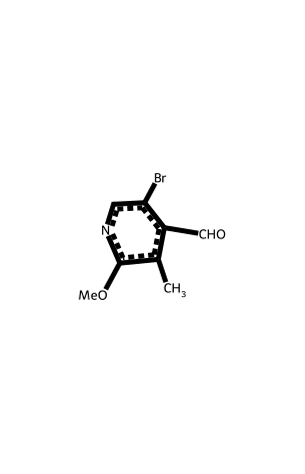 COc1ncc(Br)c(C=O)c1C